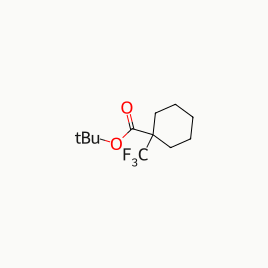 CC(C)(C)OC(=O)C1(C(F)(F)F)CCCCC1